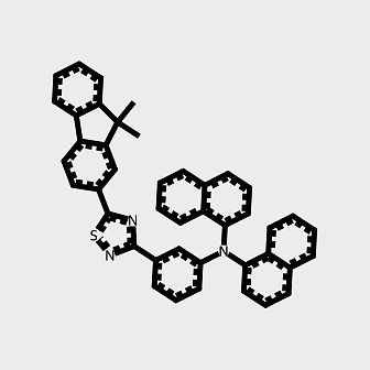 CC1(C)c2ccccc2-c2ccc(-c3nc(-c4cccc(N(c5cccc6ccccc56)c5cccc6ccccc56)c4)ns3)cc21